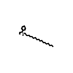 C=CC(c1ccccc1)N(C)CCCCCCCCCCCCCCCCCC